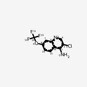 Nc1c(Cl)cnc2cc(OC(F)(F)F)ccc12